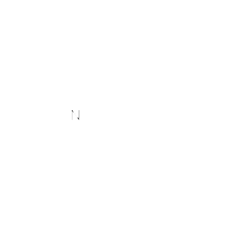 CC(C)C1CCC1N(C)C